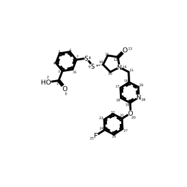 O=C(O)c1cccc(SS[C@@H]2CC(=O)N(Cc3ccc(Oc4ccc(F)cc4)nc3)C2)c1